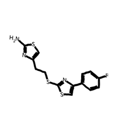 Nc1nc(CCSc2nc(-c3ccc(F)cc3)cs2)cs1